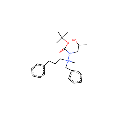 CC(O)CN(C(=O)OC(C)(C)C)[N@@+](C)(CCCc1ccccc1)Cc1ccccc1